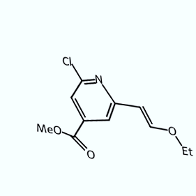 CCOC=Cc1cc(C(=O)OC)cc(Cl)n1